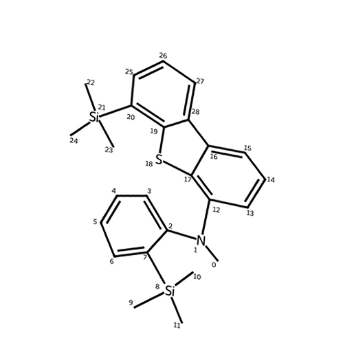 CN(c1ccccc1[Si](C)(C)C)c1cccc2c1sc1c([Si](C)(C)C)cccc12